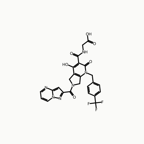 O=C(O)CNC(=O)c1c(O)c2c(n(Cc3ccc(C(F)(F)F)cc3)c1=O)CN(C(=O)c1cc3ncccn3n1)C2